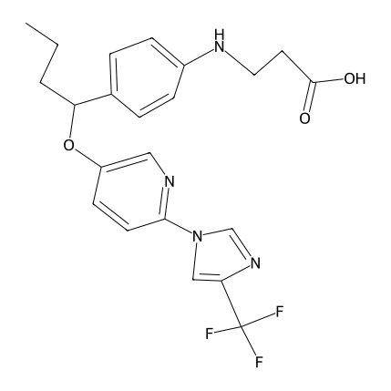 CCCC(Oc1ccc(-n2cnc(C(F)(F)F)c2)nc1)c1ccc(NCCC(=O)O)cc1